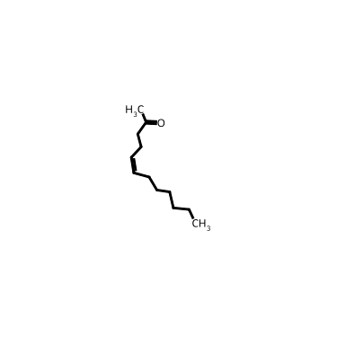 CCCCCC/C=C\CCC(C)=O